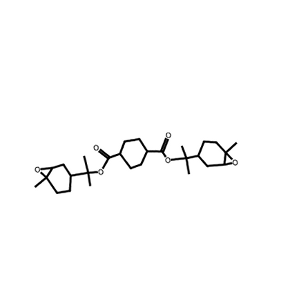 CC(C)(OC(=O)C1CCC(C(=O)OC(C)(C)C2CCC3(C)OC3C2)CC1)C1CCC2(C)OC2C1